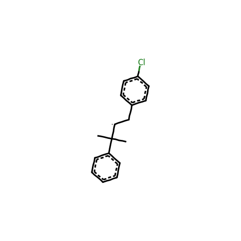 CC(C)([CH]Cc1ccc(Cl)cc1)c1ccccc1